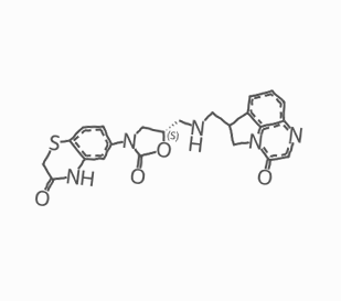 O=C1CSc2ccc(N3C[C@H](CNCC4Cn5c(=O)cnc6cccc4c65)OC3=O)cc2N1